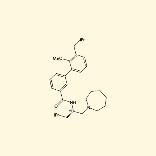 COc1c(CC(C)C)cccc1-c1cccc(C(=O)N[C@H](CC(C)C)CN2CCCCCC2)c1